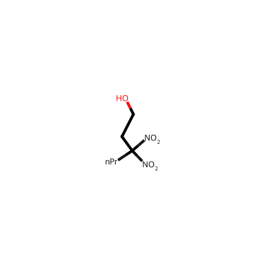 CCCC(CCO)([N+](=O)[O-])[N+](=O)[O-]